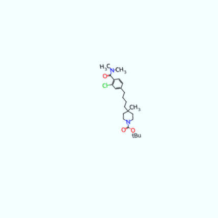 CN(C)C(=O)c1ccc(CCCCC2(C)CCN(C(=O)OC(C)(C)C)CC2)cc1Cl